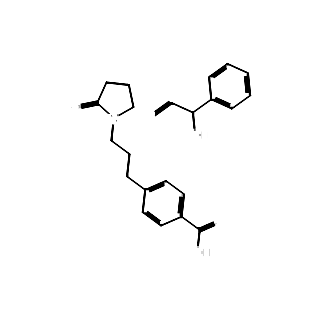 O=C(O)c1ccc(CCCN2C(=O)CC[C@@H]2/C=C/C(O)c2ccccc2)cc1